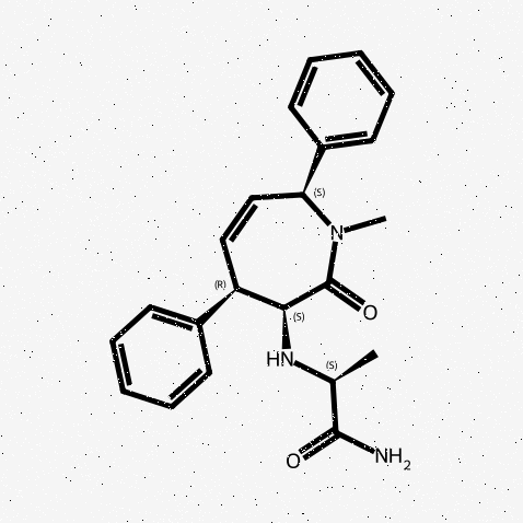 C[C@H](N[C@@H]1C(=O)N(C)[C@H](c2ccccc2)C=C[C@@H]1c1ccccc1)C(N)=O